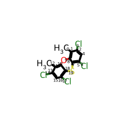 Cc1c(Cl)cc(Cl)c2c1Oc1c(C)c(Cl)cc(Cl)c1S2